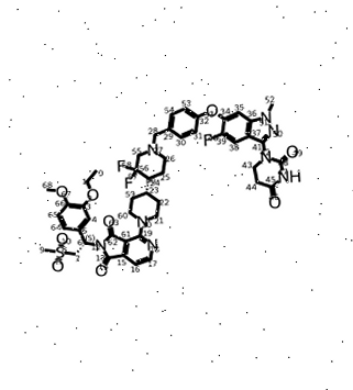 CCOc1cc([C@@H](CS(C)(=O)=O)N2C(=O)c3ccnc(N4CCC([C@H]5CCN(Cc6ccc(Oc7cc8c(cc7F)c(N7CCC(=O)NC7=O)nn8C)cc6)CC5(F)F)CC4)c3C2=O)ccc1OC